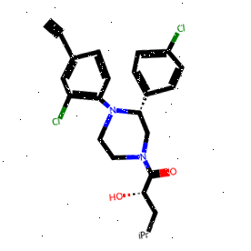 C#Cc1ccc(N2CCN(C(=O)[C@@H](O)CC(C)C)C[C@H]2c2ccc(Cl)cc2)c(Cl)c1